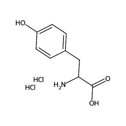 Cl.Cl.NC(Cc1ccc(O)cc1)C(=O)O